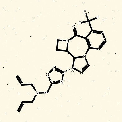 C=CCN(CC=C)Cc1nc([C@H]2N=CN3c4cccc(C(F)(F)F)c4C(=O)N4CCC4C23)no1